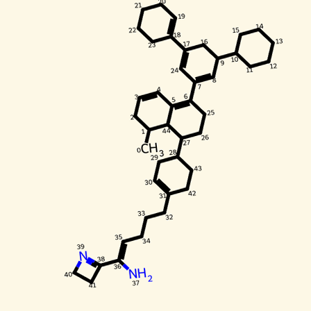 CC1CC=CC2=C(C3=CC(C4CCCCC4)CC(C4=CCCCC4)=C3)CCC(C3CC=C(CCC/C=C(\N)C4=NCC4)CC3)C21